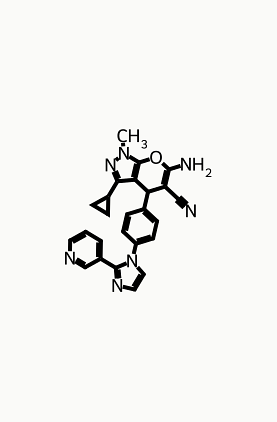 Cn1nc(C2CC2)c2c1OC(N)=C(C#N)C2c1ccc(-n2ccnc2-c2cccnc2)cc1